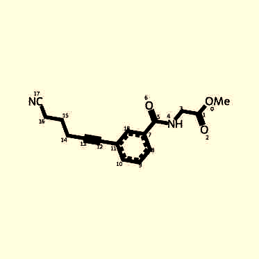 COC(=O)CNC(=O)c1cccc(C#CCCCC#N)c1